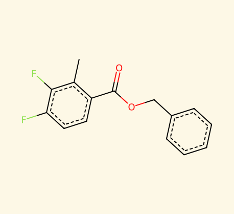 Cc1c(C(=O)OCc2ccccc2)ccc(F)c1F